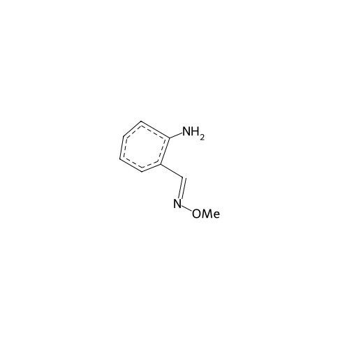 CON=Cc1ccccc1N